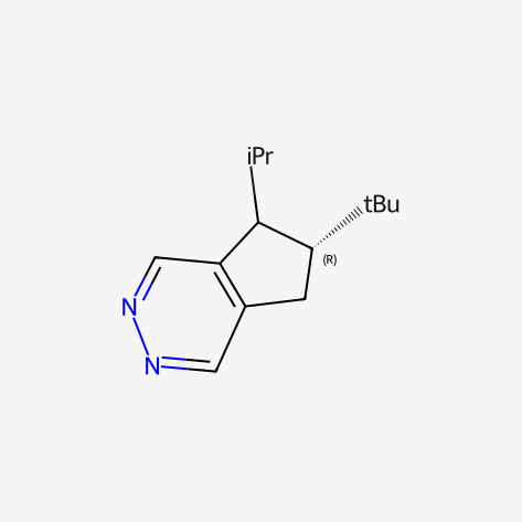 CC(C)C1c2cnncc2C[C@H]1C(C)(C)C